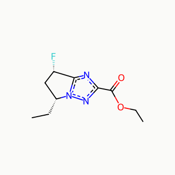 CCOC(=O)c1nc2n(n1)[C@H](CC)C[C@@H]2F